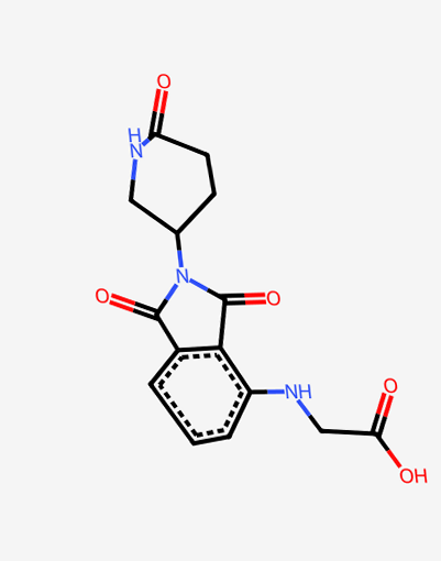 O=C(O)CNc1cccc2c1C(=O)N(C1CCC(=O)NC1)C2=O